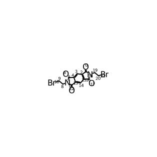 O=c1c2cc3c(=O)n(CCBr)c(=O)c3cc2c(=O)n1CCBr